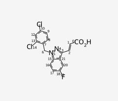 O=C(O)/C=C/c1nn(Cc2ccc(Cl)cc2Cl)c2ccc(F)cc12